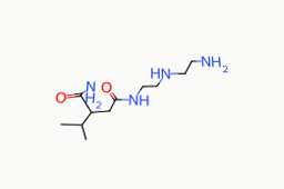 CC(C)C(CC(=O)NCCNCCN)C(N)=O